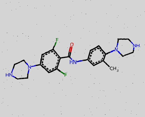 Cc1cc(NC(=O)c2c(F)cc(N3CCNCC3)cc2F)ccc1N1CCNCC1